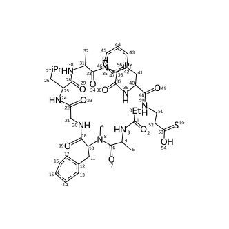 CCC(=O)NC(C)C(=O)N(C)C(Cc1ccccc1)C(=O)NCC(=O)NC(CC(C)C)C(=O)NC(C)C(=O)NC(C(=O)NC(Cc1ccccc1)C(=O)NCCC(O)=S)C(C)C